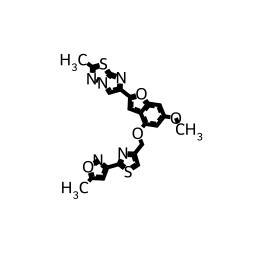 COc1cc(OCc2csc(-c3cc(C)on3)n2)c2cc(-c3cn4nc(C)sc4n3)oc2c1